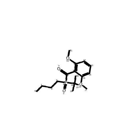 CCCCP(=O)(C(=O)c1c(OC)cccc1OC)C(C)(C)C